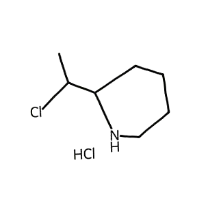 CC(Cl)C1CCCCN1.Cl